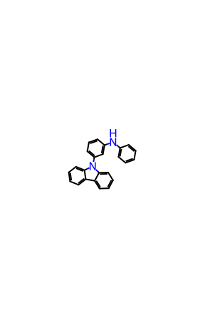 c1ccc(Nc2cccc(-n3c4ccccc4c4ccccc43)c2)cc1